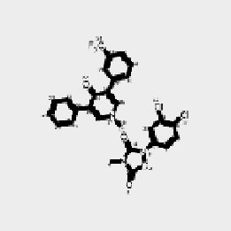 Cn1c(=O)on(-c2ccc(Cl)c(Cl)c2)c1=O.Cn1cc(-c2ccccc2)c(=O)c(-c2cccc(C(F)(F)F)c2)c1